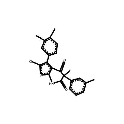 Cc1cccc(C2(F)C(=O)Nc3sc(Cl)c(-c4ccc(C)c(C)c4)c3C2=O)c1